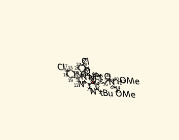 CCOc1cc(C(C)(C)C)ncc1C1=N[C@@](C)(c2ccc(Cl)cc2)[C@@](C)(c2ccc(Cl)cc2)N1C(=O)N1CCC(CC(=O)N(CCOC)CCOC)CC1